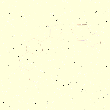 CCN(C)CC(=O)N(C)C(C)c1ccc(-c2n[nH]c(-c3cc(C)c4ncnn4c3)c2C(C)C)cc1